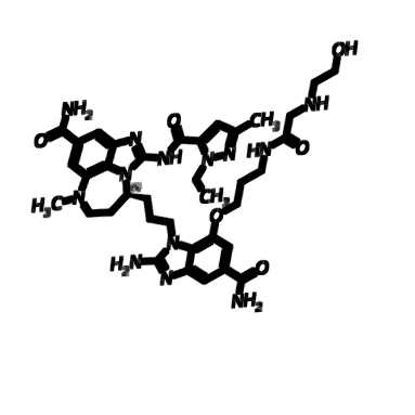 CCn1nc(C)cc1C(=O)Nc1nc2cc(C(N)=O)cc3c2n1[C@@H](CCCn1c(N)nc2cc(C(N)=O)cc(OCCCNC(=O)CNCCO)c21)CCN3C